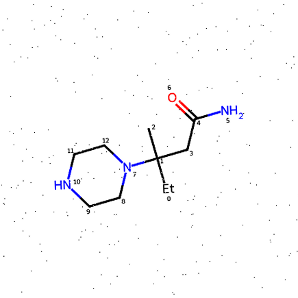 CCC(C)(CC(N)=O)N1CCNCC1